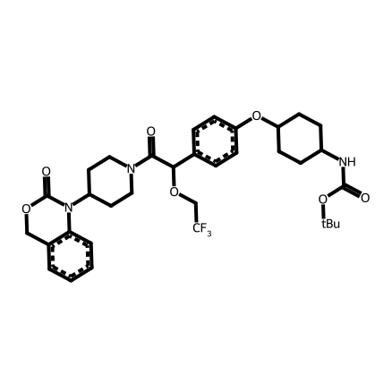 CC(C)(C)OC(=O)NC1CCC(Oc2ccc(C(OCC(F)(F)F)C(=O)N3CCC(N4C(=O)OCc5ccccc54)CC3)cc2)CC1